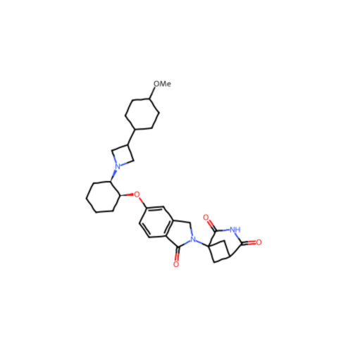 COC1CCC(C2CN([C@@H]3CCCC[C@@H]3Oc3ccc4c(c3)CN(C35CC(C3)C(=O)NC5=O)C4=O)C2)CC1